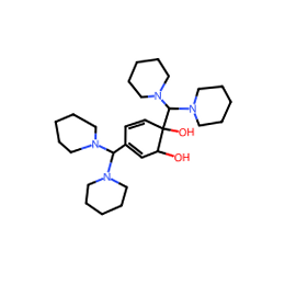 OC1C=C(C(N2CCCCC2)N2CCCCC2)C=CC1(O)C(N1CCCCC1)N1CCCCC1